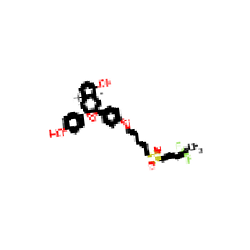 C[C@]12CC3(c4ccc(OCCCCCS(=O)(=O)CCCC(F)(F)C(F)(F)F)cc4)O[C@@]3(c3ccc(O)cc3)C[C@@H]1CC[C@@H]2O